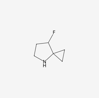 FC1CCNC12CC2